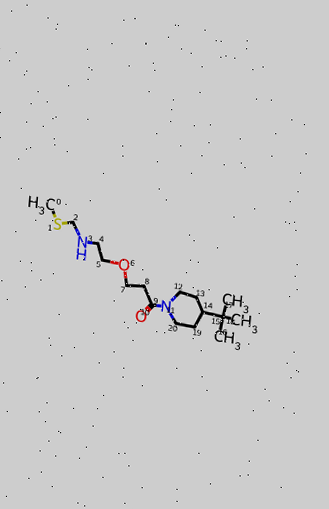 CSCNCCOCCC(=O)N1CCC(C(C)(C)C)CC1